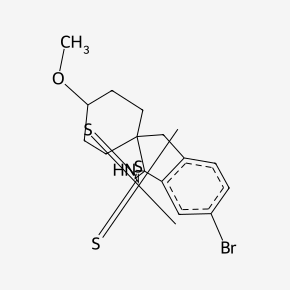 COC1CCC2(CC1)Cc1ccc(Br)cc1C21NC(=S)SC1=S